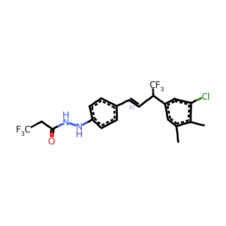 Cc1cc(C(/C=C/c2ccc(NNC(=O)CC(F)(F)F)cc2)C(F)(F)F)cc(Cl)c1C